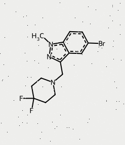 Cn1nc(CN2CCC(F)(F)CC2)c2cc(Br)ccc21